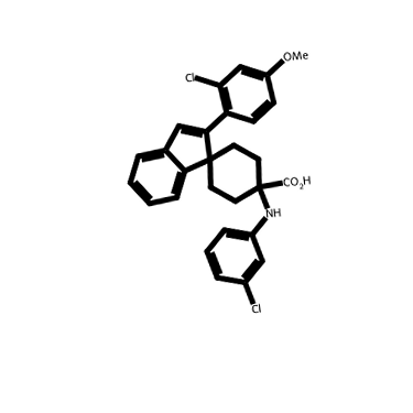 COc1ccc(C2=Cc3ccccc3C23CCC(Nc2cccc(Cl)c2)(C(=O)O)CC3)c(Cl)c1